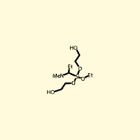 CCO[Si](OCCO)(OCCO)C(CC)NC